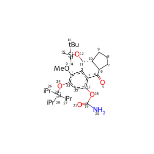 COc1cc(C(=O)C2CCC[C@H]2CO[Si](C)(C)C(C)(C)C)c(OC(N)=O)cc1O[Si](C(C)C)(C(C)C)C(C)C